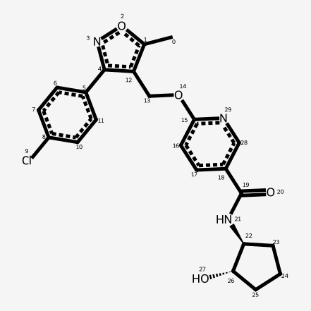 Cc1onc(-c2ccc(Cl)cc2)c1COc1ccc(C(=O)N[C@H]2CCC[C@@H]2O)cn1